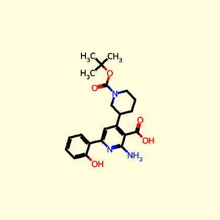 CC(C)(C)OC(=O)N1CCCC(c2cc(-c3ccccc3O)nc(N)c2C(=O)O)C1